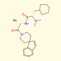 CC[C@H](C)[C@H](NC(=O)[C@H](CC1CCCCC1)N(C)C)C(=O)N1CCC2(C=Cc3ccccc32)CC1